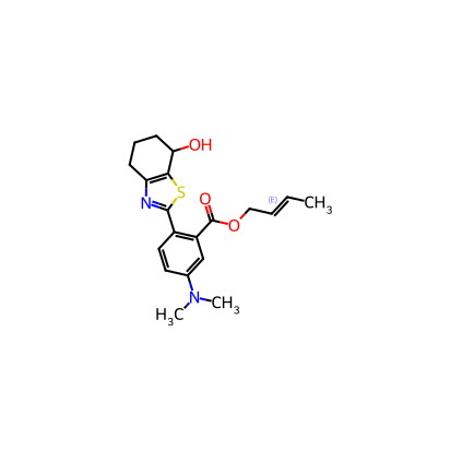 C/C=C/COC(=O)c1cc(N(C)C)ccc1-c1nc2c(s1)C(O)CCC2